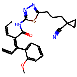 C=C/C(=C(\C=C/C)C(=O)Nc1nnc(CCCC2(C#N)CC2)s1)c1ccccc1OC